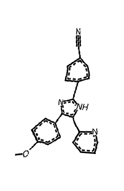 COc1ccc(-c2nc(-c3ccc(C#N)cc3)[nH]c2-c2ccccn2)cc1